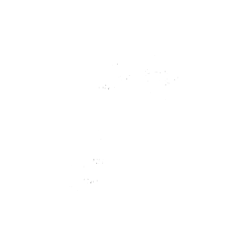 CCC(C)NC(=O)NCCCCCCNC(=O)OC[Si](C)(C)O[Si](C)(C)C